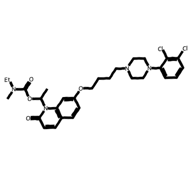 CCN(C)C(=O)OC(C)n1c(=O)ccc2ccc(OCCCCN3CCN(c4cccc(Cl)c4Cl)CC3)cc21